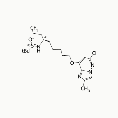 Cc1cn2nc(Cl)cc(OCCCCC[C@H](CCC(F)(F)F)N[S@@+]([O-])C(C)(C)C)c2n1